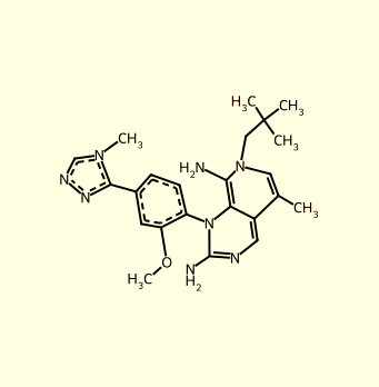 COc1cc(-c2nncn2C)ccc1N1C(N)=NC=C2C(C)=CN(CC(C)(C)C)C(N)=C21